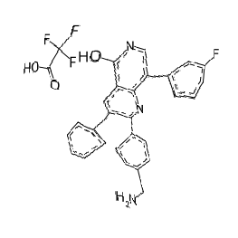 NCc1ccc(-c2nc3c(-c4cccc(F)c4)cnc(O)c3cc2-c2ccccc2)cc1.O=C(O)C(F)(F)F